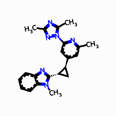 Cc1cc([C@H]2C[C@@H]2c2nc3ccccc3n2C)cc(-n2nc(C)nc2C)n1